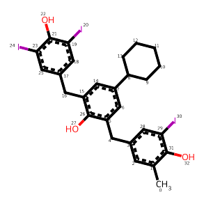 Cc1cc(Cc2cc(C3CCCCC3)cc(Cc3cc(I)c(O)c(I)c3)c2O)cc(I)c1O